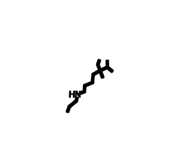 CCCNCCCCC(C)(CC)C(C)C